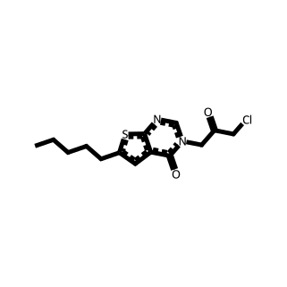 CCCCCc1cc2c(=O)n(CC(=O)CCl)cnc2s1